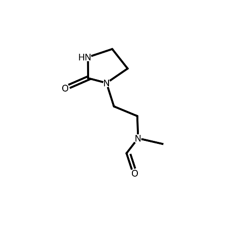 CN(C=O)CCN1CCNC1=O